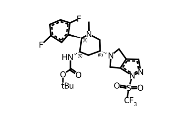 CN1C[C@H](N2Cc3cnn(S(=O)(=O)C(F)(F)F)c3C2)C[C@H](NC(=O)OC(C)(C)C)[C@H]1c1cc(F)ccc1F